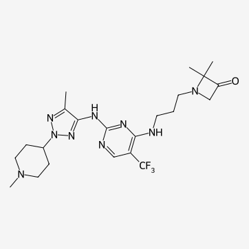 Cc1nn(C2CCN(C)CC2)nc1Nc1ncc(C(F)(F)F)c(NCCCN2CC(=O)C2(C)C)n1